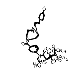 CC(C)(C(N)C(=O)O)C(S)C(=O)N(CCO)c1ccc(C(=O)N2CCN(CCc3ccc(Cl)cc3)CC2)cc1